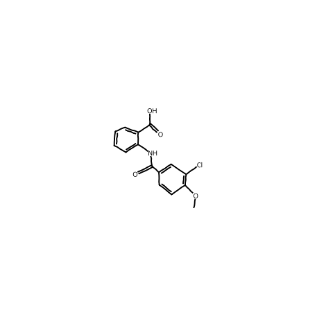 COc1ccc(C(=O)Nc2ccccc2C(=O)O)cc1Cl